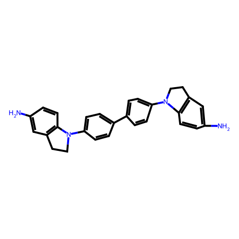 Nc1ccc2c(c1)CCN2c1ccc(-c2ccc(N3CCc4cc(N)ccc43)cc2)cc1